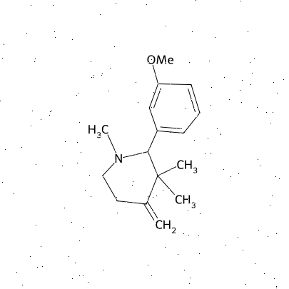 C=C1CCN(C)C(c2cccc(OC)c2)C1(C)C